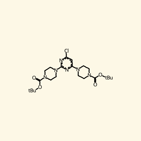 CC(C)(C)OC(=O)N1CCN(c2cc(Cl)nc(N3CCN(C(=O)OC(C)(C)C)CC3)n2)CC1